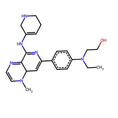 CCN(CCO)c1ccc(C2=CC3C(=NC=CN3C)C(NC3=CCCNC3)=N2)cc1